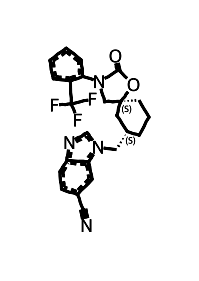 N#Cc1ccc2ncn(C[C@H]3CCC[C@]4(C3)CN(c3ccccc3C(F)(F)F)C(=O)O4)c2c1